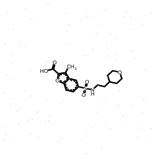 Cc1c(C(=O)O)oc2ccc(S(=O)(=O)NCCC3CCOCC3)cc12